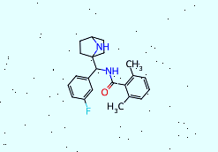 Cc1cccc(C)c1C(=O)NC(c1cccc(F)c1)C12CCC(CC1)N2